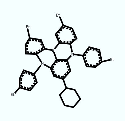 CCc1ccc(N2c3ccc(CC)cc3B3c4cc(CC)ccc4N(c4ccc(CC)cc4)c4cc(C5CCCCC5)cc2c43)cc1